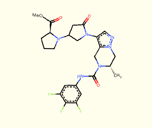 COC(=O)[C@@H]1CCCN1C1CC(=O)N(c2cnn3c2CN(C(=O)Nc2cc(F)c(F)c(F)c2)[C@@H](C)C3)C1